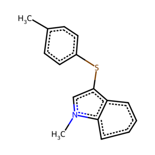 Cc1ccc(Sc2cn(C)c3ccccc23)cc1